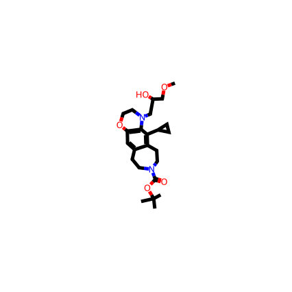 COCC(O)CN1CCOc2cc3c(c(C4CC4)c21)CCN(C(=O)OC(C)(C)C)CC3